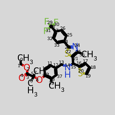 CCOC(=O)C(C)(C)Oc1ccc(CNC(c2cccs2)c2sc(-c3ccc(C(F)(F)F)cc3)nc2C)cc1C